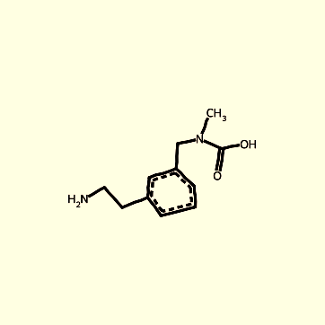 CN(Cc1cccc(CCN)c1)C(=O)O